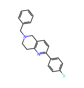 Fc1ccc(-c2ccc3c(n2)CCN(Cc2ccccc2)C3)cc1